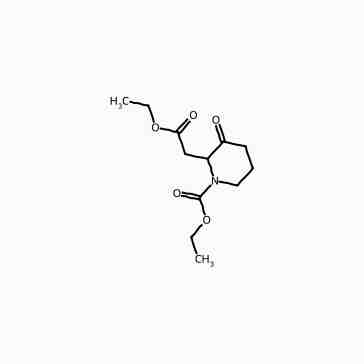 CCOC(=O)CC1C(=O)CCCN1C(=O)OCC